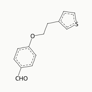 O=Cc1ccc(OCCc2ccsc2)cc1